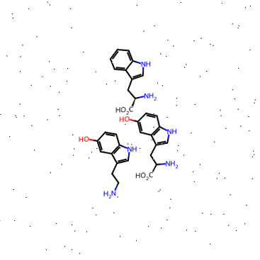 NC(Cc1c[nH]c2ccc(O)cc12)C(=O)O.NCCc1c[nH]c2ccc(O)cc12.N[C@H](Cc1c[nH]c2ccccc12)C(=O)O